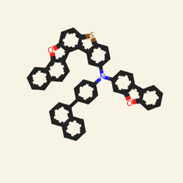 c1ccc2c(-c3ccc(N(c4ccc5c(c4)oc4ccccc45)c4ccc5sc6ccc7oc8c9ccccc9ccc8c7c6c5c4)cc3)cccc2c1